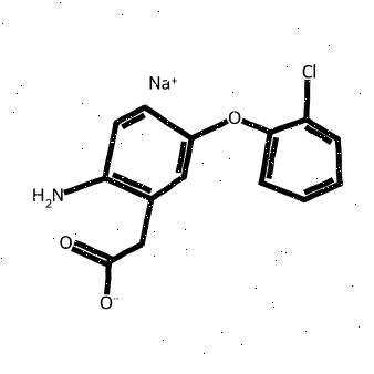 Nc1ccc(Oc2ccccc2Cl)cc1CC(=O)[O-].[Na+]